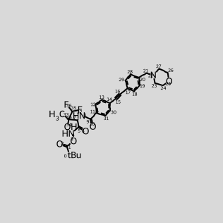 CC(C)(C)C(=O)ONC(=O)[C@@H](NC(=O)c1ccc(C#Cc2ccc(CN3CCOCC3)cc2)cc1)C(C)(O)C(F)F